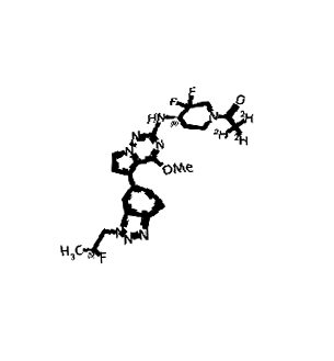 [2H]C([2H])([2H])C(=O)N1CC[C@@H](Nc2nc(OC)c3c(-c4ccc5nnn(C[C@H](C)F)c5c4)ccn3n2)C(F)(F)C1